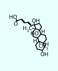 C[C@]12CC[C@H](O)C[C@H]1CC[C@@H]1[C@@H]2CC[C@]2(C)[C@](O)(/C=C/C=C/C(=O)O)CC[C@]12O